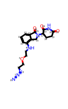 [N-]=[N+]=NCCOCCNc1cccc2c1CN(C1CCC(=O)NC1=O)C2=O